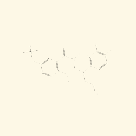 COc1ccc(OC(F)(F)F)cc1C(=O)N(C)CC(CCO)c1ccc(Cl)c(Cl)c1